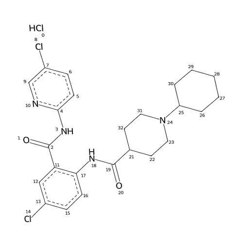 Cl.O=C(Nc1ccc(Cl)cn1)c1cc(Cl)ccc1NC(=O)C1CCN(C2CCCCC2)CC1